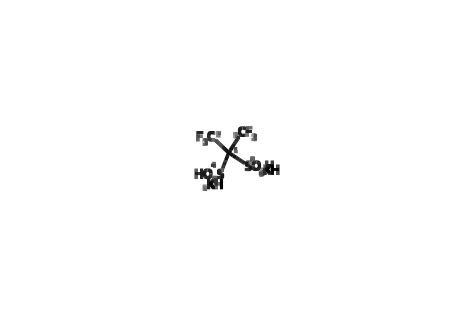 O=S(=O)(O)C(C(F)(F)F)(C(F)(F)F)S(=O)(=O)O.[KH].[KH]